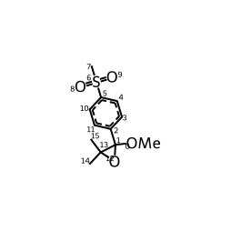 COC1(c2ccc(S(C)(=O)=O)cc2)OC1(C)C